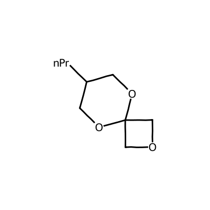 CCCC1COC2(COC2)OC1